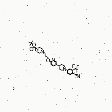 CC(C)(C)OC(=O)N1CCN(CCCOc2ccc(C3CCN(c4ccc(C#N)c(C(F)(F)F)c4)CC3)cn2)CC1